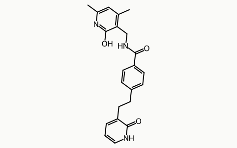 Cc1cc(C)c(CNC(=O)c2ccc(CCc3ccc[nH]c3=O)cc2)c(O)n1